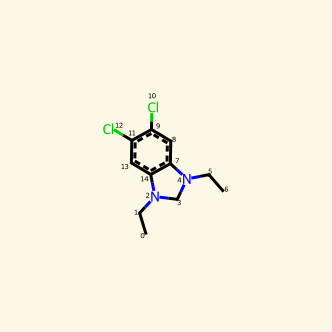 CCN1CN(CC)c2cc(Cl)c(Cl)cc21